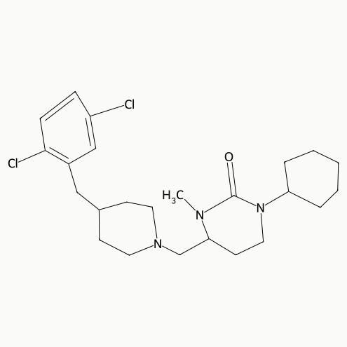 CN1C(=O)N(C2CCCCC2)CCC1CN1CCC(Cc2cc(Cl)ccc2Cl)CC1